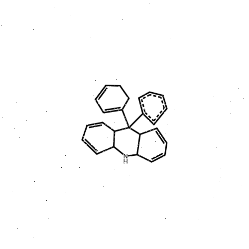 C1=CCCC(C2(c3ccccc3)C3C=CC=CC3NC3C=CC=CC32)=C1